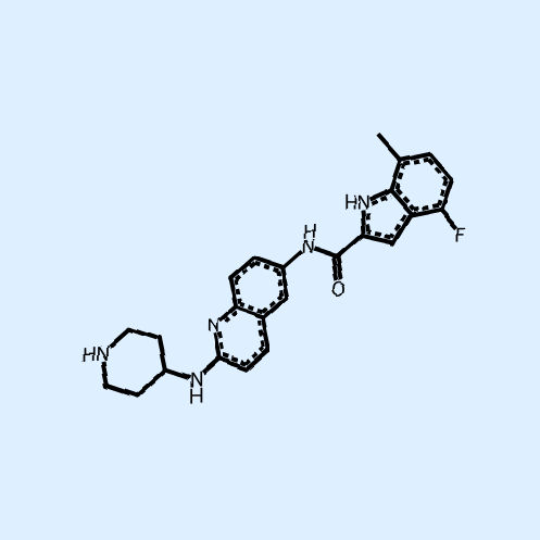 Cc1ccc(F)c2cc(C(=O)Nc3ccc4nc(NC5CCNCC5)ccc4c3)[nH]c12